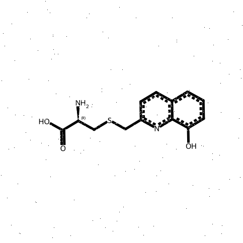 N[C@@H](CSCc1ccc2cccc(O)c2n1)C(=O)O